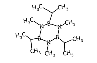 CC(C)B1N(C)B(C(C)C)N(C)B(C(C)C)N1C